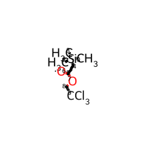 C[Si](C)(C)CC([O])OCC(Cl)(Cl)Cl